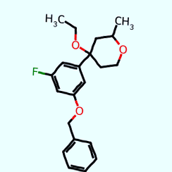 CCOC1(c2cc(F)cc(OCc3ccccc3)c2)CCOC(C)C1